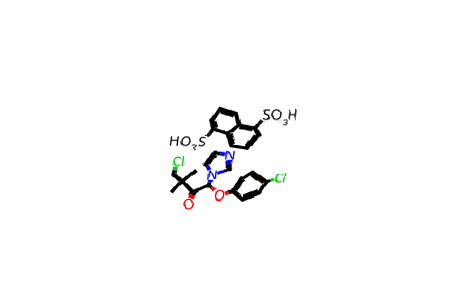 CC(C)(CCl)C(=O)C(Oc1ccc(Cl)cc1)n1ccnc1.O=S(=O)(O)c1cccc2c(S(=O)(=O)O)cccc12